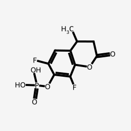 CC1CC(=O)Oc2c1cc(F)c(OP(=O)(O)O)c2F